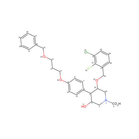 O=C(O)N1CC(O)C(c2ccc(OCCCOCc3ccccc3)cc2)C(OCc2cccc(Cl)c2F)C1